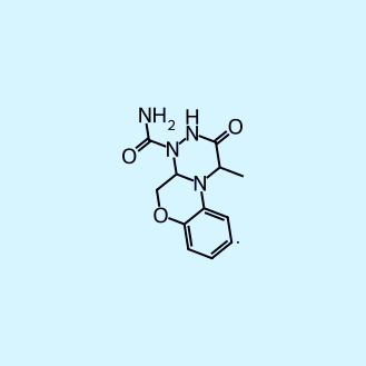 CC1C(=O)NN(C(N)=O)C2COc3cc[c]cc3N12